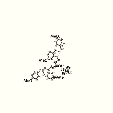 CC[N+](CC)(CC)CC.COc1ccc(CC(CCCOB(O)OCCCC(Cc2ccc(OC)cc2)Cc2ccc(OC)cc2)Cc2ccc(OC)cc2)cc1